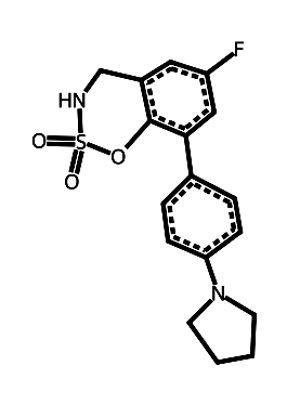 O=S1(=O)NCc2cc(F)cc(-c3ccc(N4CCCC4)cc3)c2O1